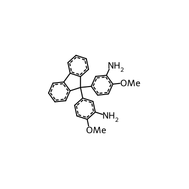 COc1ccc(C2(c3ccc(OC)c(N)c3)c3ccccc3-c3ccccc32)cc1N